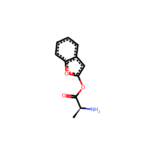 C[C@H](N)C(=O)Oc1cc2ccccc2o1